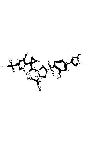 Cn1cc(-c2ccc(S(=O)(=O)[C@@H]3C[C@@H](C(=O)O)N(C(=O)C4(c5ncc(C(F)(F)F)cc5F)CC4)C3)c(Cl)c2)cn1